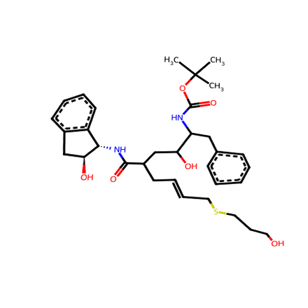 CC(C)(C)OC(=O)NC(Cc1ccccc1)C(O)CC(C/C=C/CSCCCO)C(=O)N[C@H]1c2ccccc2C[C@@H]1O